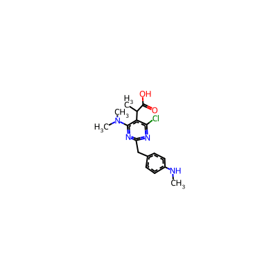 CNc1ccc(Cc2nc(Cl)c(C(C)C(=O)O)c(N(C)C)n2)cc1